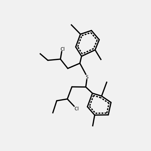 CCC(Cl)CC(SC(CC(Cl)CC)c1cc(C)ccc1C)c1cc(C)ccc1C